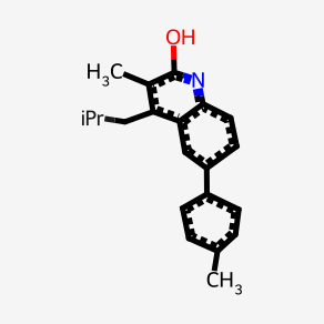 Cc1ccc(-c2ccc3nc(O)c(C)c(CC(C)C)c3c2)cc1